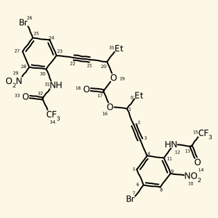 CCC(C#Cc1cc(Br)cc([N+](=O)[O-])c1NC(=O)C(F)(F)F)OC(=O)OC(C#Cc1cc(Br)cc([N+](=O)[O-])c1NC(=O)C(F)(F)F)CC